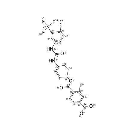 O=C(NC1=C=CC(OC(=O)c2ccc([N+](=O)[O-])cc2I)CC1)Nc1ccc(Cl)c(C(F)(F)F)c1